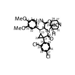 COc1ccc(C[C@@H](C(N)=O)N(C(=O)C2(c3ccc(Cl)cc3Cl)CC2)[C@@H]2CN3CCC2CC3)cc1OC